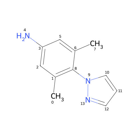 Cc1cc(N)cc(C)c1-n1cccn1